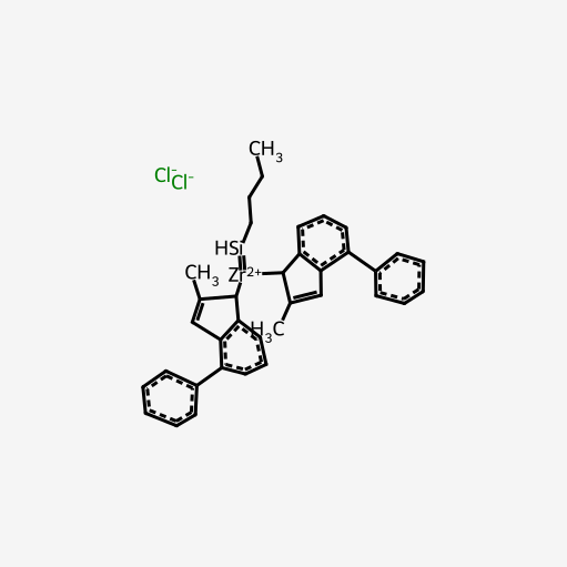 CCCC[SiH]=[Zr+2]([CH]1C(C)=Cc2c(-c3ccccc3)cccc21)[CH]1C(C)=Cc2c(-c3ccccc3)cccc21.[Cl-].[Cl-]